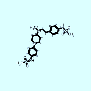 CN(CCc1ccc(NS(C)(=O)=O)cc1)C1CCN(c2ccc(NS(C)(=O)=O)cc2)CC1